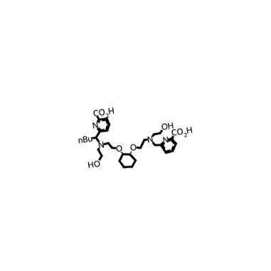 CCCCC(c1cccc(C(=O)O)n1)N(CCO)CCO[C@H]1CCCC[C@H]1OCCN(CCO)Cc1cccc(C(=O)O)n1